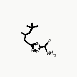 CC(Cc1nnc(C(N)=O)s1)CC(C)(C)C